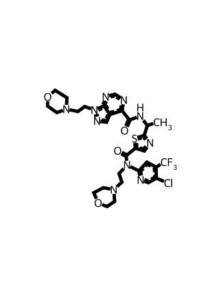 CC(NC(=O)c1ncnc2c1cnn2CCN1CCOCC1)c1ncc(C(=O)N(CCN2CCOCC2)c2cc(C(F)(F)F)c(Cl)cn2)s1